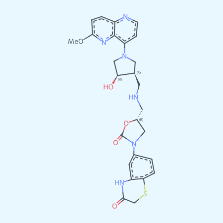 COc1ccc2nccc(N3C[C@@H](CNC[C@@H]4CN(c5ccc6c(c5)NC(=O)CS6)C(=O)O4)[C@@H](O)C3)c2n1